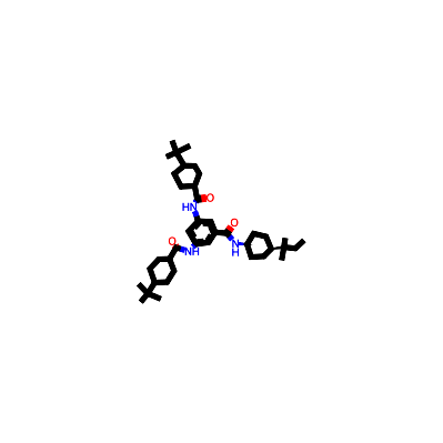 CCC(C)(C)[C@H]1CC[C@@H](NC(=O)c2cc(NC(=O)C3CCC(C(C)(C)C)CC3)cc(NC(=O)C3CCC(C(C)(C)C)CC3)c2)CC1